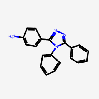 Nc1ccc(-c2nnc(-c3ccccc3)n2-c2ccccc2)cc1